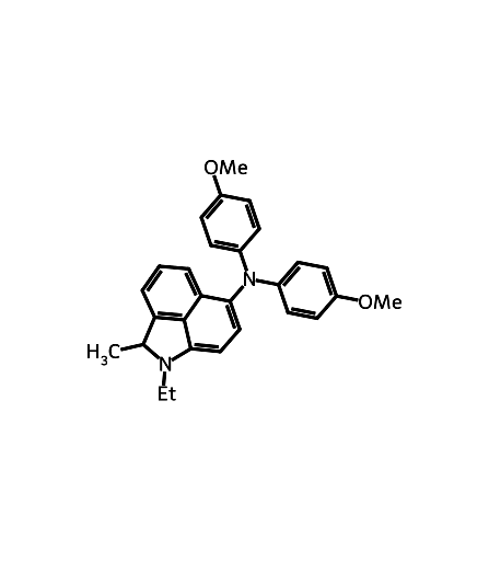 CCN1c2ccc(N(c3ccc(OC)cc3)c3ccc(OC)cc3)c3cccc(c23)C1C